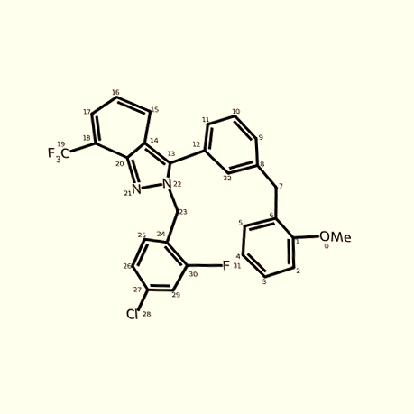 COc1ccccc1Cc1cccc(-c2c3cccc(C(F)(F)F)c3nn2Cc2ccc(Cl)cc2F)c1